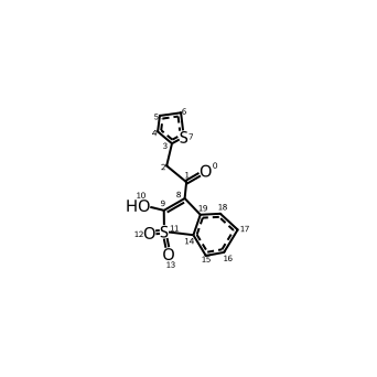 O=C(Cc1cccs1)C1=C(O)S(=O)(=O)c2ccccc21